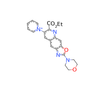 CCOC(=O)c1nc2cc3oc(N4CCOCC4)nc3cc2cc1-[n+]1ccccc1